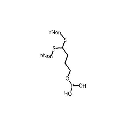 CCCCCCCCCSC(CCCOP(O)O)SCCCCCCCCC